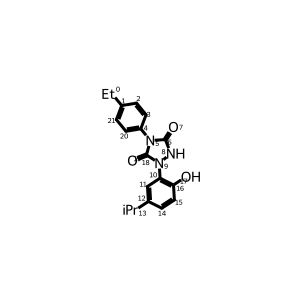 CCc1ccc(-n2c(=O)[nH]n(-c3cc(C(C)C)ccc3O)c2=O)cc1